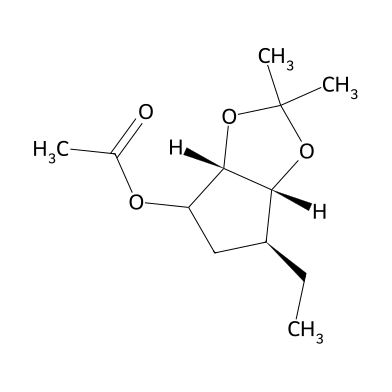 CC[C@H]1CC(OC(C)=O)[C@@H]2OC(C)(C)O[C@H]12